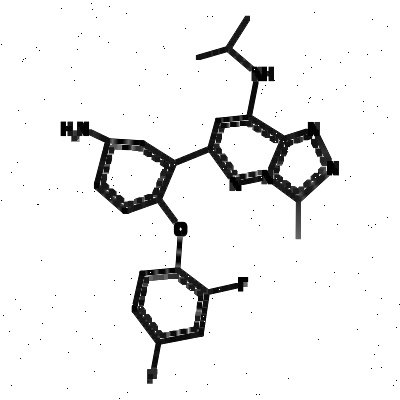 Cc1nnc2c(NC(C)C)cc(-c3cc(N)ccc3Oc3ccc(F)cc3F)nn12